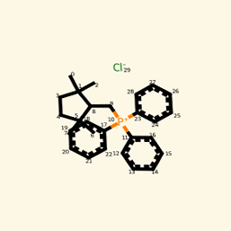 CC1(C)CCC(C)(C)C1C[P+](c1ccccc1)(c1ccccc1)c1ccccc1.[Cl-]